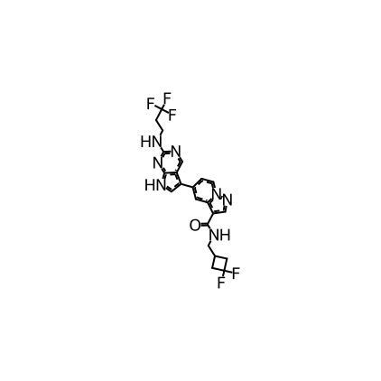 O=C(NCC1CC(F)(F)C1)c1cnn2ccc(-c3c[nH]c4nc(NCCC(F)(F)F)ncc34)cc12